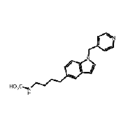 O=C(O)NCCCCc1ccc2c(ccn2Cc2ccncc2)c1